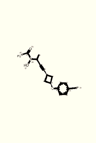 CC(C#C[C@H]1C[C@@H](Oc2ccc(F)cc2)C1)N(O)C(N)=O